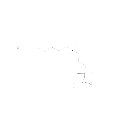 CCN(CC)C(C)(C)CCOC(C)(C)CCCCCCC(F)(F)F